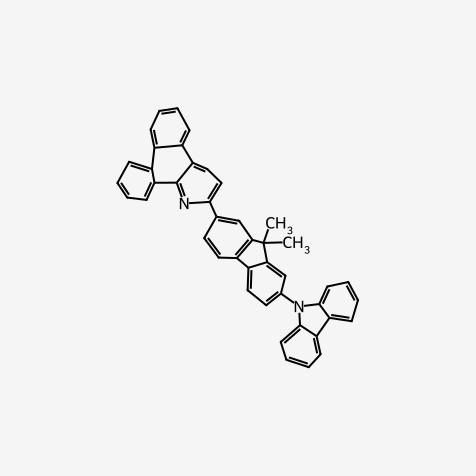 CC1(C)c2cc(-c3ccc4c5ccccc5c5ccccc5c4n3)ccc2-c2ccc(-n3c4ccccc4c4ccccc43)cc21